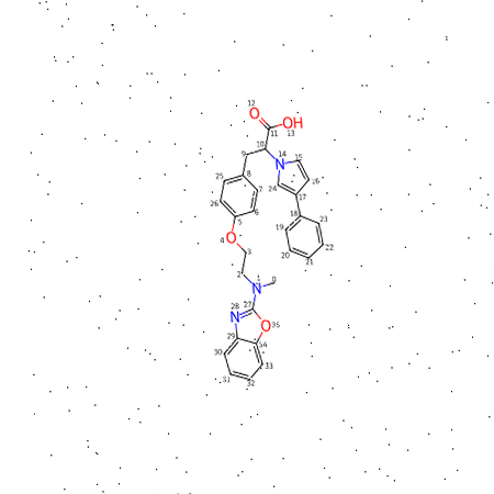 CN(CCOc1ccc(CC(C(=O)O)n2ccc(-c3ccccc3)c2)cc1)c1nc2ccccc2o1